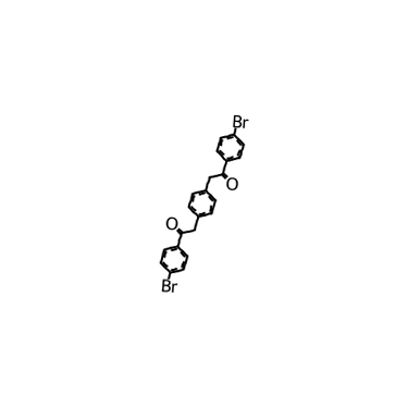 O=C(Cc1ccc(CC(=O)c2ccc(Br)cc2)cc1)c1ccc(Br)cc1